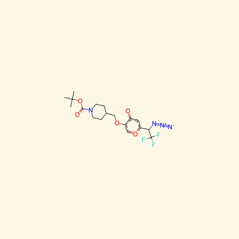 CC(C)(C)OC(=O)N1CCC(COc2coc(C(N=[N+]=[N-])C(F)(F)F)cc2=O)CC1